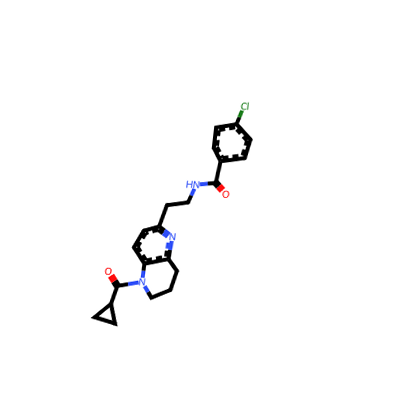 O=C(NCCc1ccc2c(n1)CCCN2C(=O)C1CC1)c1ccc(Cl)cc1